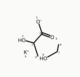 CC(O)C(=O)[O-].CCO.[K+]